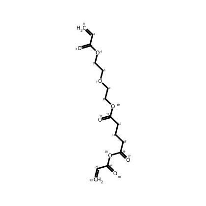 C=CC(=O)OCCOCCOC(=O)CCCC(=O)OC(=O)C=C